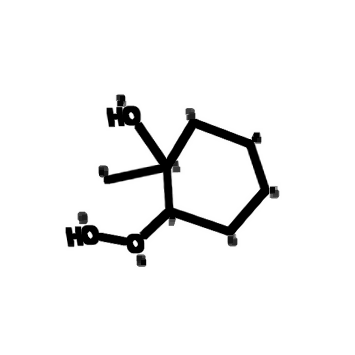 CC1(O)CCCCC1OO